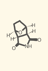 O=C1NC(=O)[C@H]2[C@@H]1[C@H]1CC[C@@H]2O1